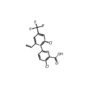 C=Cc1cc(C(F)(F)F)cc(Cl)c1-c1ccc(Cl)c(C(=O)O)n1